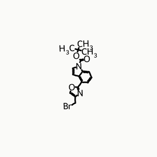 CC(C)(C)OC(=O)n1ccc2c(-c3nc(CBr)co3)cccc21